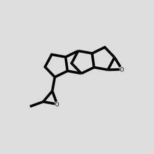 CC1OC1C1CCC2C3CC(C21)C1C3CC2OC21